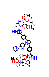 COC(=O)N[C@H](C(=O)N1CCC[C@H]1c1nc(-c2ccc(-c3ccc(-c4ccc(-c5c[nH]c([C@@H]6CCCN6C(=O)[C@H](C(C)C)N(C)C(=O)O)n5)cc4)n3-c3ccc(N4CCCCC4)nc3)cc2)c[nH]1)C(C)C